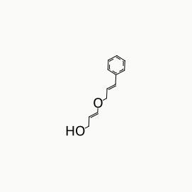 OCC=COC/C=C/c1ccccc1